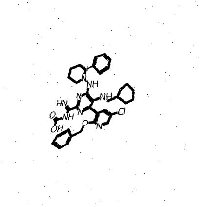 N=C(NC(=O)O)c1nc(NN2CCCC[C@H]2c2ccccc2)c(NCC2CCCCC2)c(-c2cc(Cl)cnc2OCc2ccccc2)n1